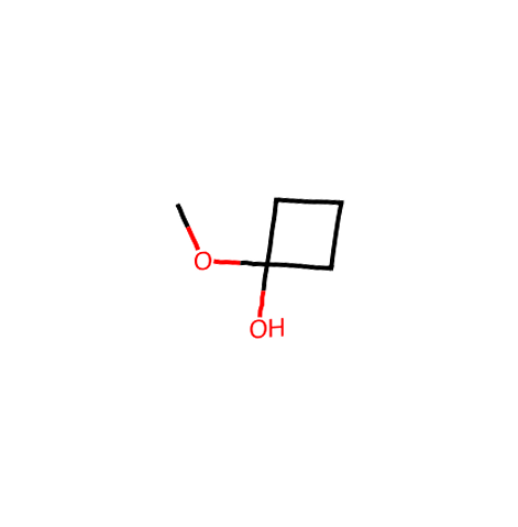 COC1(O)CCC1